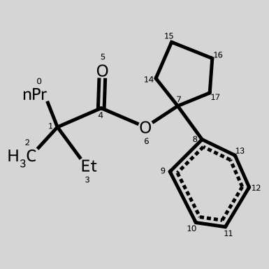 CCCC(C)(CC)C(=O)OC1(c2ccccc2)CCCC1